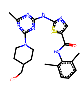 Cc1nc(Nc2ncc(C(=O)Nc3c(C)cccc3C)s2)nc(N2CCC(CO)CC2)n1